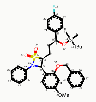 COc1ccc([C@@H]2[C@H](CC[C@H](O[Si](C)(C)C(C)(C)C)c3ccc(F)cc3)S(=O)(=O)N2c2ccccc2)c(OCc2ccccc2)c1